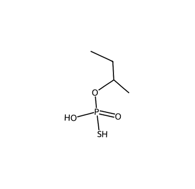 CCC(C)OP(=O)(O)S